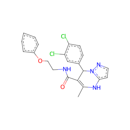 CC1=C(C(=O)NCCOc2ccccc2)C(c2ccc(Cl)c(Cl)c2)n2nccc2N1